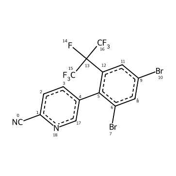 N#Cc1ccc(-c2c(Br)[c]c(Br)cc2C(F)(C(F)(F)F)C(F)(F)F)cn1